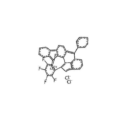 Fc1c(F)c(F)c(C2=C(c3c4c(ccc3=C(c3ccccc3)c3ccccc3)=c3ccccc3=[C]4[Zr+2])CC=C2)c(F)c1F.[Cl-].[Cl-]